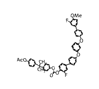 COc1ccc(-c2ccc(Oc3cccc(Oc4ccc(-c5ccc(OC(=O)Oc6ccc(C(C)(C)c7ccc(OC(C)=O)cc7)cc6)c(F)c5)cc4)c3)cc2)cc1F